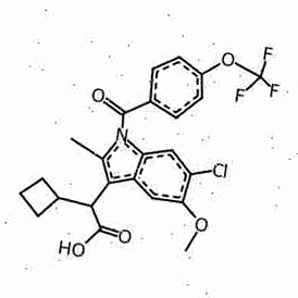 COc1cc2c(C(C(=O)O)C3CCC3)c(C)n(C(=O)c3ccc(OC(F)(F)F)cc3)c2cc1Cl